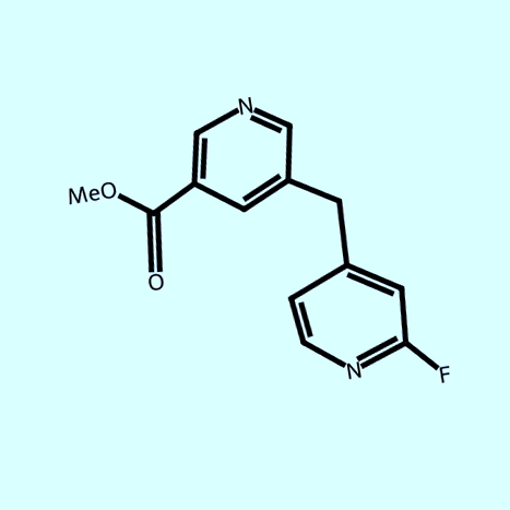 COC(=O)c1cncc(Cc2ccnc(F)c2)c1